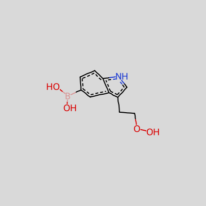 OOCCc1c[nH]c2ccc(B(O)O)cc12